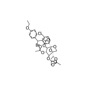 CCOc1ccc(C(Br)c2cc([C@]34OC[C@](C(C)OC(C)=O)(O3)[C@@H](OC(C)=O)[C@H](OC(C)=O)[C@H]4OC(C)=O)ccc2Cl)cc1